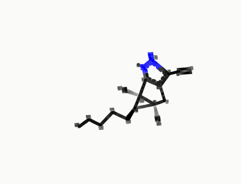 C#Cc1[nH]nc2c1C[C@H]1[C@@H](CCCCC)[C@@H]21